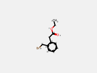 CCOC(=O)Cc1ccccc1CBr